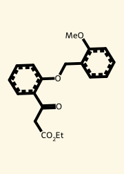 CCOC(=O)CC(=O)c1ccccc1OCc1ccccc1OC